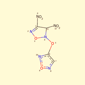 O=[N+]([O-])C1=NON(Oc2cnon2)C1[N+](=O)[O-]